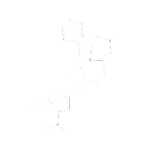 CCC(=O)c1cc(S(=O)(=O)N2CCC3=CC(=O)CCC3(Cc3ccccc3)C2)sc1OC